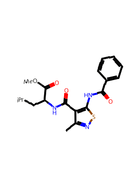 COC(=O)C(CC(C)C)NC(=O)c1c(C)nsc1NC(=O)c1ccccc1